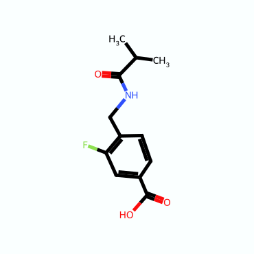 CC(C)C(=O)NCc1ccc(C(=O)O)cc1F